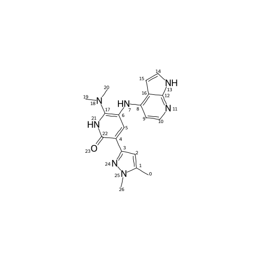 Cc1cc(-c2cc(Nc3ccnc4[nH]ccc34)c(N(C)C)[nH]c2=O)nn1C